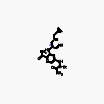 CC[C@@H](Nc1cnc(C(N)=O)c(N/C(C=N)=C/NCC2CC2)n1)C(N)=O